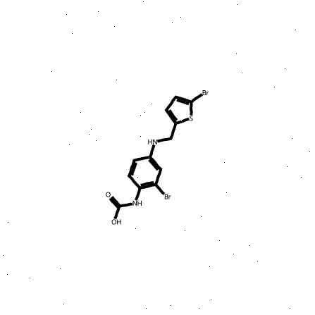 O=C(O)Nc1ccc(NCc2ccc(Br)s2)cc1Br